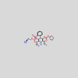 CC1=C(OC(=O)OCCC#N)C(c2ccccc2[N+](=O)[O-])C(OC(=O)OC2CCCC2)=C(C)N1